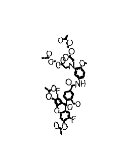 COc1ccc(NC(=O)c2ccc3c(c2)C(=O)OC32c3cc(F)c(OC(C)=O)cc3Oc3cc(OC(C)=O)c(F)cc32)cc1N(CC(=O)OCOC(C)=O)CC(=O)OCOC(C)=O